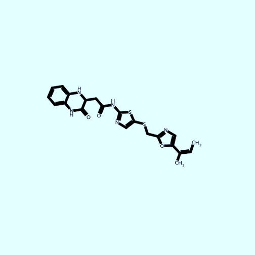 C/C=C(/C)c1cnc(CSc2cnc(NC(=O)CC3Nc4ccccc4NC3=O)s2)o1